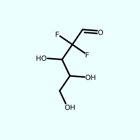 O=CC(F)(F)C(O)C(O)CO